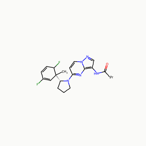 CC(C)C(=O)Nc1cnn2ccc(N3CCC[C@@H]3C3(C)C=C(F)C=CC3F)nc12